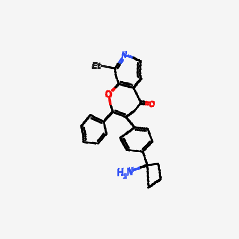 CCc1nccc2c(=O)c(-c3ccc(C4(N)CCC4)cc3)c(-c3ccccc3)oc12